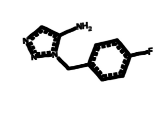 Nc1cnnn1Cc1ccc(F)cc1